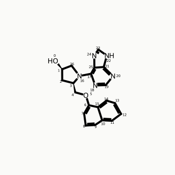 O[C@@H]1C[C@H](COc2cccc3ccccc23)N(c2ncnc3[nH]cnc23)C1